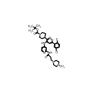 CN1CCN(CCC(=O)Nc2cc(Nc3cc(-c4cc(Cl)ccc4F)nnc3C3CCN(C(=O)OC(C)(C)C)CC3)ccn2)CC1